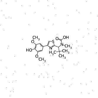 COc1cc(-c2csc(C(N(C)C(=O)O)C(C)(C)C)n2)cc(OC)c1O